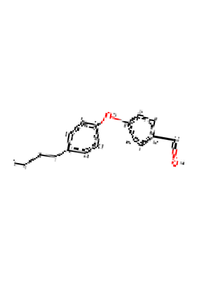 CCCCc1ccc(Oc2ccc(C=O)cc2)cc1